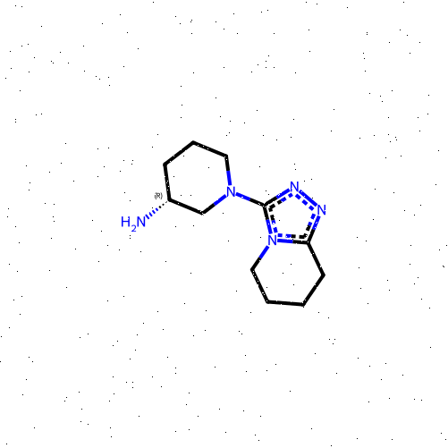 N[C@@H]1CCCN(c2nnc3n2CCCC3)C1